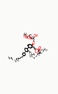 C=C(C)C(=O)OCCCc1cc(-c2ccc(-c3ccc(CCCCC)cc3)cc2CC)ccc1OCCC(CC)(CO)CO